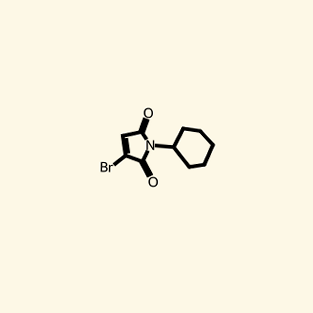 O=C1C=C(Br)C(=O)N1C1CCCCC1